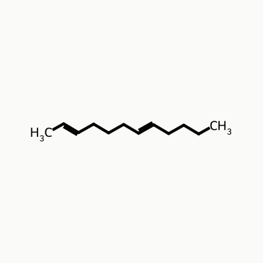 CC=CCCCC=CCCCC